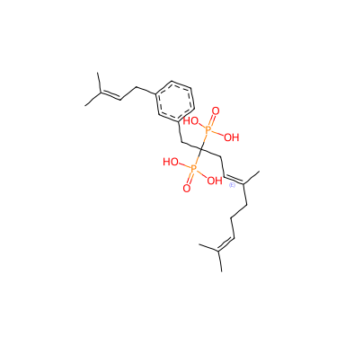 CC(C)=CCC/C(C)=C/CC(Cc1cccc(CC=C(C)C)c1)(P(=O)(O)O)P(=O)(O)O